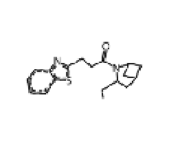 CCC1CC2CC(C2)N1C(=O)CCc1nc2ccccc2s1